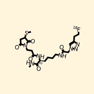 CNC(=O)[C@H](CCCCNC(=O)Cn1cc(CC[18F])nn1)NC(=O)CCN1C(=O)CC(SC)C1=O